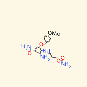 COc1ccc(COc2cc(C(N)=O)cc(N)c2NCC=CCOC(N)=O)cc1